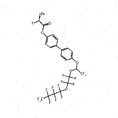 CCC[C@H](F)C(=O)Oc1ccc(-c2ccc(OC(OC(F)(F)C(F)(F)OC(F)(F)C(F)(F)C(F)(F)C(F)(F)F)C(F)(F)F)cc2)cc1